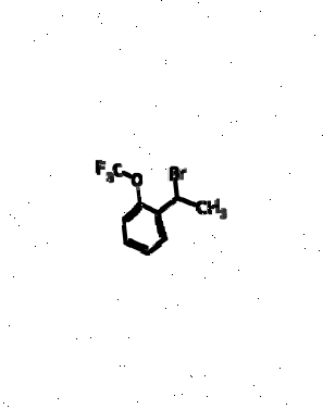 CC(Br)c1ccccc1OC(F)(F)F